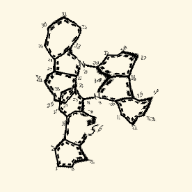 c1ccc2c(c1)sc1c(-n3c4ccccc4c4cccc(-n5c6ccccc6c6ccccc65)c43)nccc12